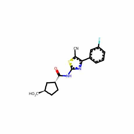 N#Cc1sc(NC(=O)[C@@H]2CC[C@@H](C(=O)O)C2)nc1-c1cccc(F)c1